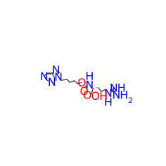 N=C(N)NCCC[C@@H](NC(=O)OCCCCCn1cnc2cncnc21)C(=O)O